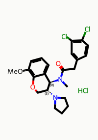 COc1cccc2c1OC[C@@H](N1CCCC1)[C@@H]2N(C)C(=O)Cc1ccc(Cl)c(Cl)c1.Cl